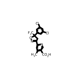 Cc1cc(C2=NOC(c3cc(Cl)cc(Cl)c3)(C(F)(F)F)C2)ncc1C(=O)O